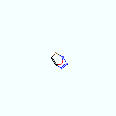 [C]1=C2N=NN(O2)S1